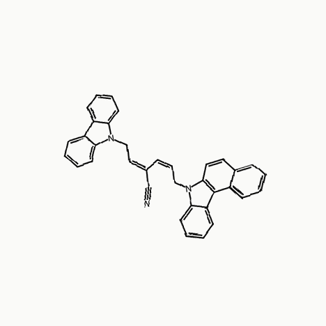 N#CC(/C=C\Cn1c2ccccc2c2c3ccccc3ccc21)=C/Cn1c2ccccc2c2ccccc21